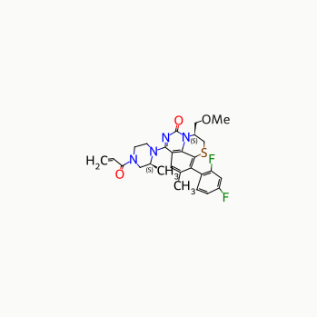 C=CC(=O)N1CCN(c2nc(=O)n3c4c(c(-c5ccc(F)cc5F)c(C)cc24)SC[C@@H]3COC)[C@@H](C)C1